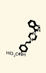 O=C(O)N[C@H]1CC[C@@H](CCN2CCN(c3nsc4ccccc34)CC2)CC1